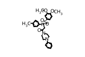 COc1ccc(S(=O)(=O)N(CC(=O)N2CCN(c3ccccc3)CC2)c2ccc(C)cc2)cc1OC